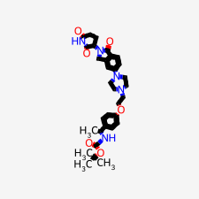 CC(NC(=O)OC(C)(C)C)c1ccc(OCCN2CCN(c3ccc4c(c3)CN(C3CCC(=O)NC3=O)C4=O)CC2)cc1